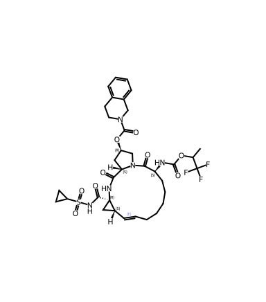 CC(OC(=O)N[C@H]1CCCCC/C=C/[C@@H]2C[C@@]2(C(=O)NS(=O)(=O)C2CC2)NC(=O)[C@@H]2C[C@@H](OC(=O)N3CCc4ccccc4C3)CN2C1=O)C(F)(F)F